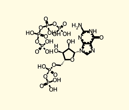 Nc1nc2c(ncn2[C@@H]2O[C@H](COP(=O)(O)OP(=O)(O)O)[C@@H](O)[C@H]2O)c(=O)[nH]1.O=P(O)(O)OP(=O)(O)OP(=O)(O)OP(=O)(O)O